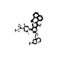 C#Cc1cccc2cccc(-c3ncc4c(N5C[C@H](C)N(C(=O)O)C[C@H]5C)nc(OC[C@@]56CCCN5C[C@H](F)C6)nc4c3F)c12